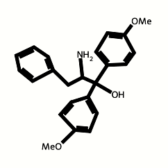 COc1ccc(C(O)(c2ccc(OC)cc2)C(N)Cc2ccccc2)cc1